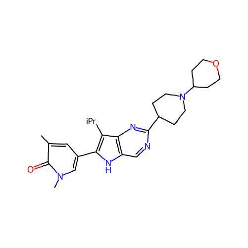 Cc1cc(-c2[nH]c3cnc(C4CCN(C5CCOCC5)CC4)nc3c2C(C)C)cn(C)c1=O